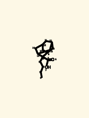 CCCCC1(C(=O)O)C2CC3CC(C2)CC1C3